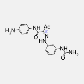 CC(=O)/C(=N/Nc1cccc(NC(N)=O)c1)C(=O)Nc1ccc(N)cc1